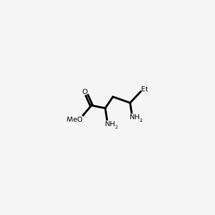 CCC(N)CC(N)C(=O)OC